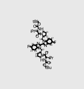 CC(C)[C@@H](NC(=O)OC(C)(C)C)C(=O)N1CCC[C@H]1Cn1c(-c2nc3cc(F)ccc3n2C[C@@H]2CCCN2C(=O)[C@H](NC(=O)OC(C)(C)C)C(C)C)nc2cc(F)ccc21